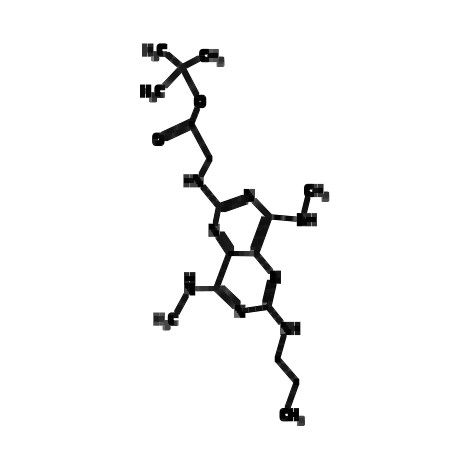 CCCNc1nc(NC)c2nc(NCC(=O)OC(C)(C)C)nc(NC)c2n1